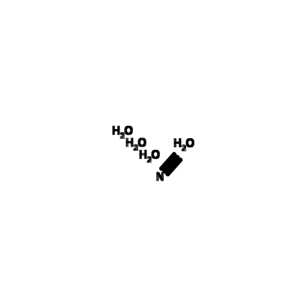 C#N.O.O.O.O